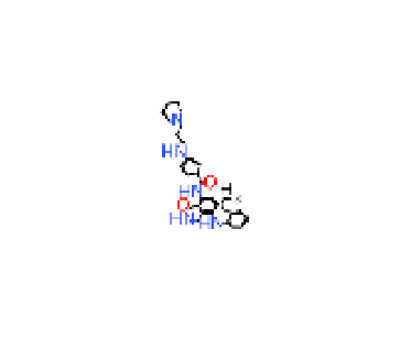 Cc1ccccc1Nc1ccc(NC(=O)c2ccc(NCCCN3CCCCC3)cc2)c2c1CNC2=O